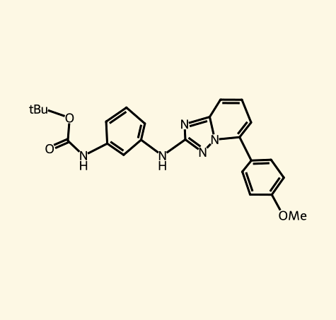 COc1ccc(-c2cccc3nc(Nc4cccc(NC(=O)OC(C)(C)C)c4)nn23)cc1